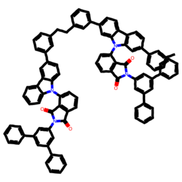 Cc1cccc(-c2ccc3c4ccc(-c5cccc(CCc6cccc(-c7ccc8c(c7)c7ccccc7n8-c7cccc8c7C(=O)N(c7cc(-c9ccccc9)cc(-c9ccccc9)c7)C8=O)c6)c5)cc4n(-c4cccc5c4C(=O)N(c4cc(-c6ccccc6)cc(-c6ccccc6)c4)C5=O)c3c2)c1